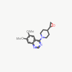 COc1cc2ncnc(N3CCC(C4CO4)CC3)c2cc1OC